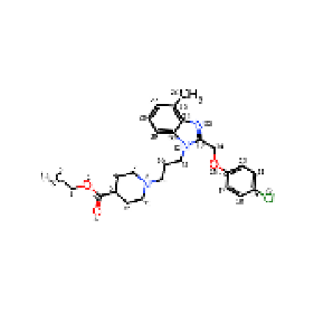 CCOC(=O)C1CCN(CCCn2c(COc3ccc(Cl)cc3)nc3c(C)cccc32)CC1